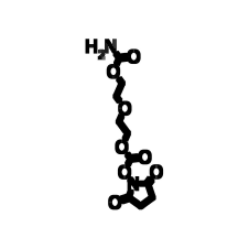 NC(=O)OCCOCCOC(=O)ON1C(=O)CCC1=O